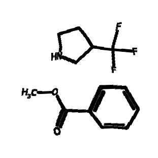 COC(=O)c1ccccc1.FC(F)(F)C1CCNC1